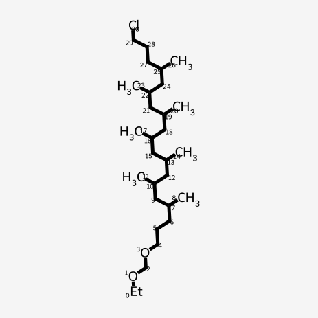 CCOCOCCCC(C)CC(C)CC(C)CC(C)CC(C)CC(C)CC(C)CCCCl